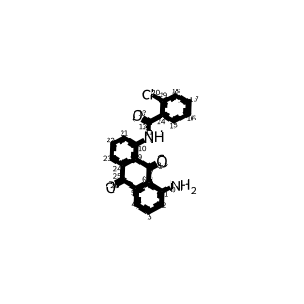 Nc1cccc2c1C(=O)c1c(NC(=O)c3ccccc3Cl)cccc1C2=O